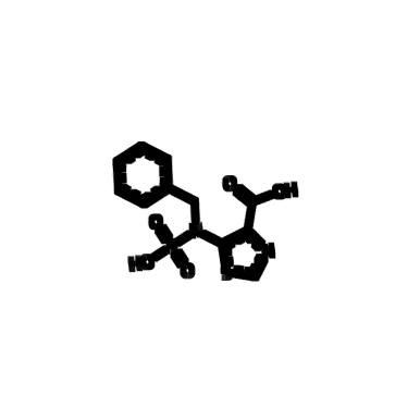 O=C(O)c1ncsc1N(Cc1ccccc1)S(=O)(=O)O